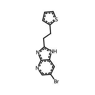 Brc1cnc2nc(CCc3cccs3)[nH]c2c1